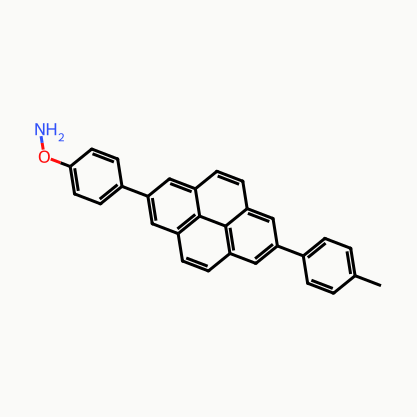 Cc1ccc(-c2cc3ccc4cc(-c5ccc(ON)cc5)cc5ccc(c2)c3c45)cc1